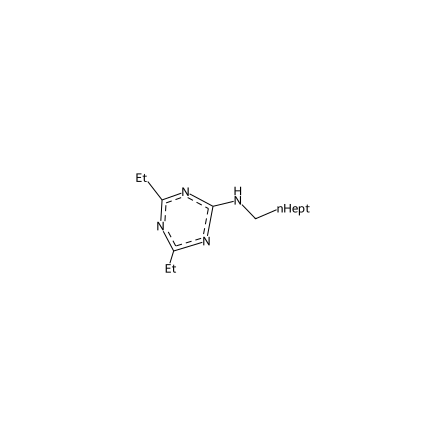 CCCCCCCCNc1nc(CC)nc(CC)n1